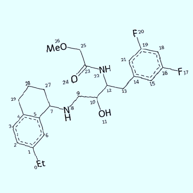 CCc1ccc2c(c1)C(NCC(O)C(Cc1cc(F)cc(F)c1)NC(=O)COC)CCC2